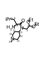 CCOC(CN(C(=O)[C@@H](N)CC(C)C)C1CCN(C)CC1)OCC